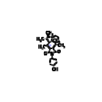 CC(C)=C1C(=O)N(c2ccc(O)cc2)C(=O)/C1=C(\C)c1c(C)n(C)c2ccccc12